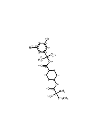 CCC(C)(C)C(=O)OC1CCC(C(=O)OC(C)(C)c2cc(Br)cc(Br)c2)CC1